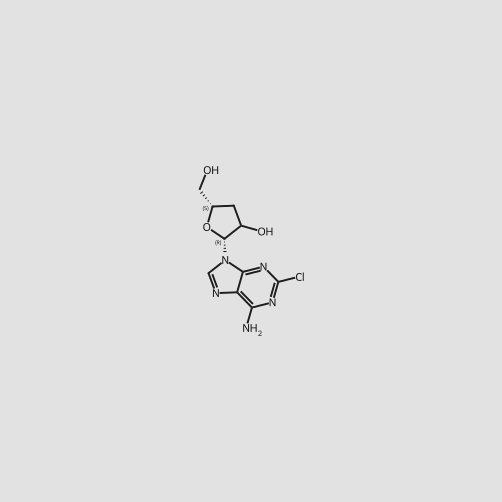 Nc1nc(Cl)nc2c1ncn2[C@@H]1O[C@H](CO)CC1O